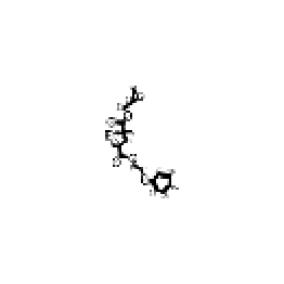 CCC(C)(CC(C)C(=O)OCCOc1ccccc1)C(=O)OCC1CO1